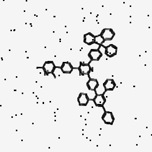 Cc1ccc(-c2ccc(-c3nc(-c4ccc(-c5c(-c6ccccc6)cc(-c6ccccc6)cc5-c5ccccc5)cc4)nc(-c4ccc(C5(c6ccccc6)c6ccccc6-c6ccccc65)cc4)n3)cc2)c(C)n1